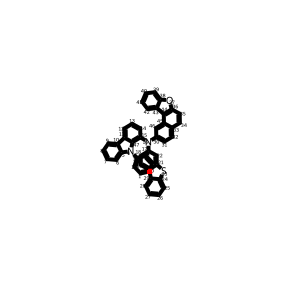 c1ccc(-n2c3ccccc3c3cccc(N(c4ccc5c(c4)sc4ccccc45)c4ccc5ccc6oc7ccccc7c6c5c4)c32)cc1